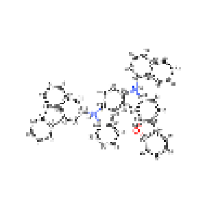 c1ccc2c(c1)-c1cccc3cc(-n4c5ccccc5c5c6c7c8oc9ccccc9c8ccc7n(-c7cccc8ccccc78)c6ccc54)cc-2c13